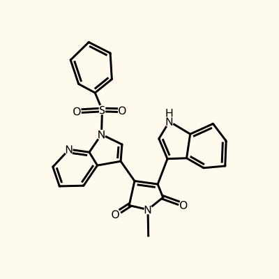 CN1C(=O)C(c2c[nH]c3ccccc23)=C(c2cn(S(=O)(=O)c3ccccc3)c3ncccc23)C1=O